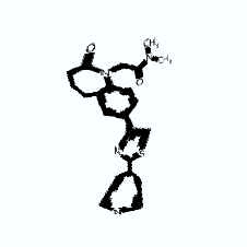 CN(C)C(=O)CN1C(=O)CCCc2cc(-c3csc(-c4ccncc4)n3)ccc21